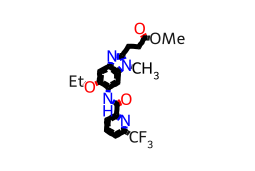 CCOc1cc2nc(CCC(=O)OC)n(C)c2cc1NC(=O)c1cccc(C(F)(F)F)n1